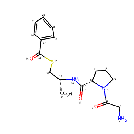 NCC(=O)N1CCC[C@H]1C(=O)N[C@@H](CSC(=O)c1ccccc1)C(=O)O